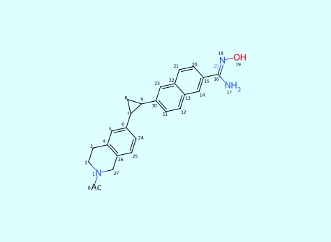 CC(=O)N1CCc2cc(C3CC3c3ccc4cc(/C(N)=N/O)ccc4c3)ccc2C1